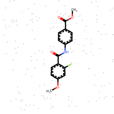 COC(=O)c1ccc(NC(=O)c2ccc(OC)cc2F)cc1